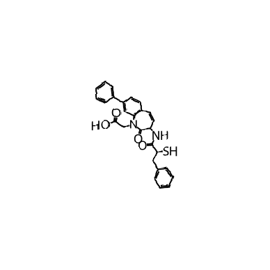 O=C(O)CN1C(=O)C(NC(=O)[C@@H](S)Cc2ccccc2)C=Cc2ccc(-c3ccccc3)cc21